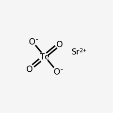 O=[Te](=O)([O-])[O-].[Sr+2]